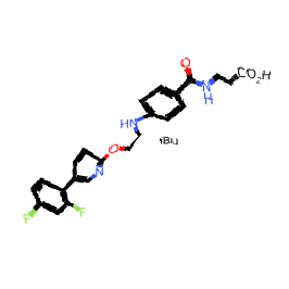 CC[C@H](C)[C@@H](COc1ccc(-c2ccc(F)cc2F)cn1)Nc1ccc(C(=O)NCCC(=O)O)cc1